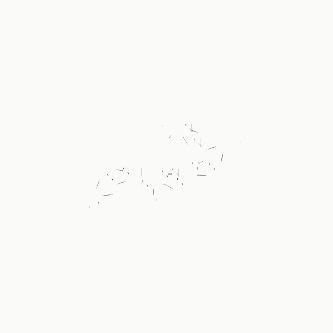 O=C(O)c1cn(-c2cc(C3CC3)cn3cc(Cn4cc(C(=O)NCc5ncn6ccc(Cl)c(F)c56)nn4)nc23)cn1